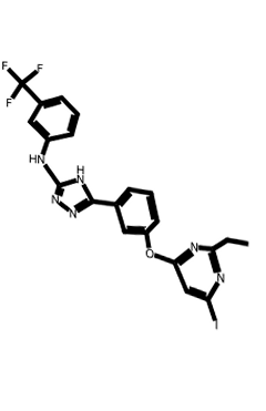 CCc1nc(I)cc(Oc2cccc(-c3nnc(Nc4cccc(C(F)(F)F)c4)[nH]3)c2)n1